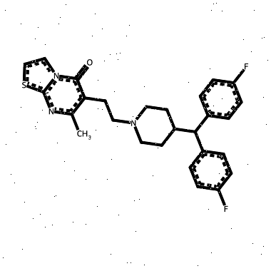 Cc1nc2sccn2c(=O)c1CCN1CCC(C(c2ccc(F)cc2)c2ccc(F)cc2)CC1